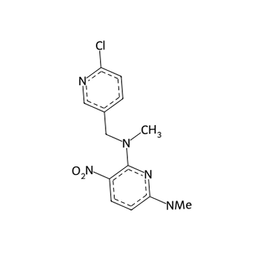 CNc1ccc([N+](=O)[O-])c(N(C)Cc2ccc(Cl)nc2)n1